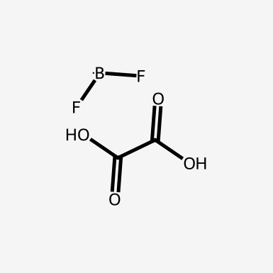 F[B]F.O=C(O)C(=O)O